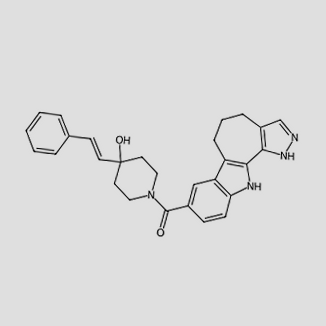 O=C(c1ccc2[nH]c3c(c2c1)CCCc1cn[nH]c1-3)N1CCC(O)(C=Cc2ccccc2)CC1